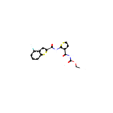 CCOC(=O)NC(=O)c1ccsc1NC(=O)c1cc2c(F)cccc2s1